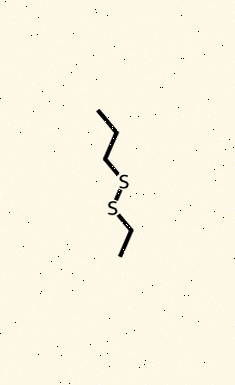 CCCSSCC